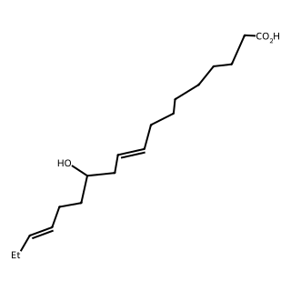 CCC=CCCC(O)CC=CCCCCCCCC(=O)O